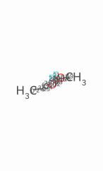 CCCCCC1CCC(COc2ccc(OCCCC)c(F)c2F)CC1